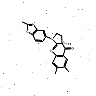 Cc1nc2cc(N3CC[C@@]4(O)C(=O)c5cc(C)c(C)cc5N=C34)ccc2o1